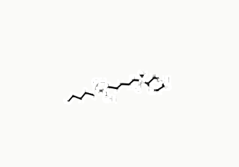 CCCCCN(O)N(O)CCCCCS(=O)(=O)C1CNCCO1